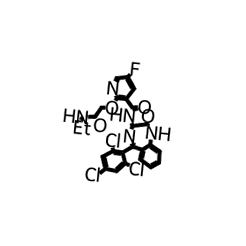 CCNC(=O)COc1ncc(F)cc1C(=O)NC1N=C(c2c(Cl)cc(Cl)cc2Cl)c2ccccc2NC1=O